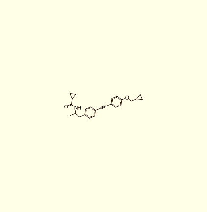 CC(Cc1ccc(C#Cc2ccc(OCC3CC3)cc2)cc1)NC(=O)C1CC1